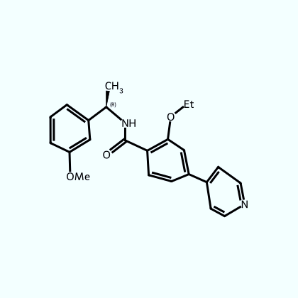 CCOc1cc(-c2ccncc2)ccc1C(=O)N[C@H](C)c1cccc(OC)c1